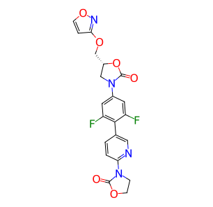 O=C1O[C@@H](COc2ccon2)CN1c1cc(F)c(-c2ccc(N3CCOC3=O)nc2)c(F)c1